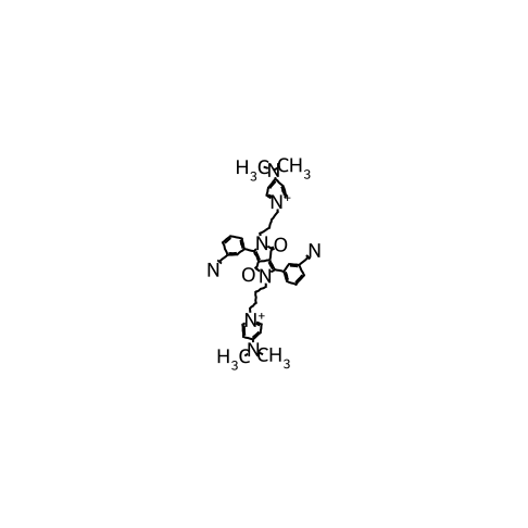 CN(C)c1cc[n+](CCCCN2C(=O)C3=C(c4cccc(C#N)c4)N(CCCC[n+]4ccc(N(C)C)cc4)C(=O)C3=C2c2cccc(C#N)c2)cc1